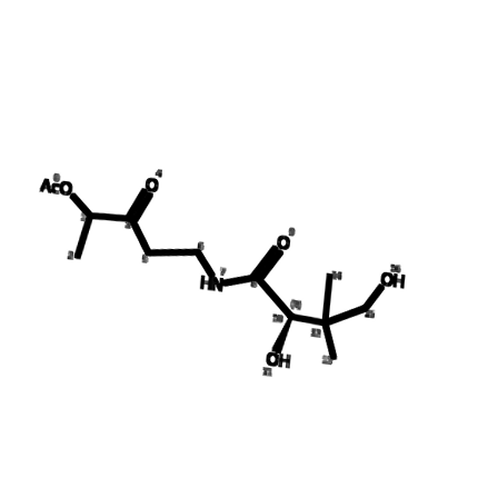 CC(=O)OC(C)C(=O)CCNC(=O)[C@H](O)C(C)(C)CO